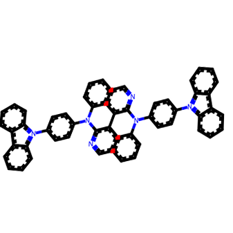 c1ccc(N(c2ccc(-n3c4ccccc4c4ccccc43)cc2)c2ncccc2-c2cccnc2N(c2ccccc2)c2ccc(-n3c4ccccc4c4ccccc43)cc2)cc1